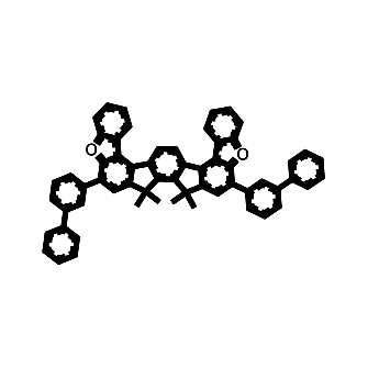 CC1(C)c2cc(-c3cccc(-c4ccccc4)c3)c3oc4ccccc4c3c2-c2ccc3c(c21)C(C)(C)c1cc(-c2cccc(-c4ccccc4)c2)c2oc4ccccc4c2c1-3